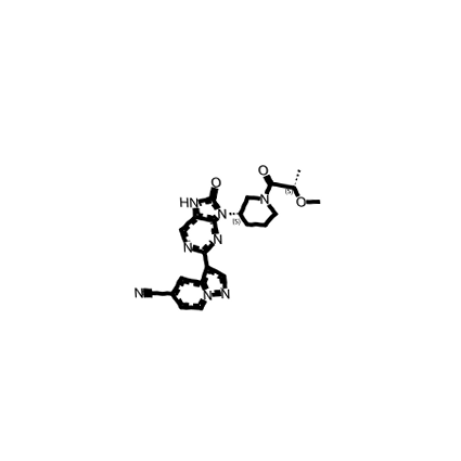 CO[C@@H](C)C(=O)N1CCC[C@H](n2c(=O)[nH]c3cnc(-c4cnn5ccc(C#N)cc45)nc32)C1